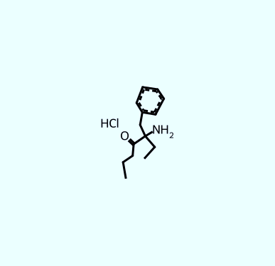 CCCC(=O)C(N)(CC)Cc1ccccc1.Cl